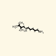 CC(C)C(C)CNCCCCCN